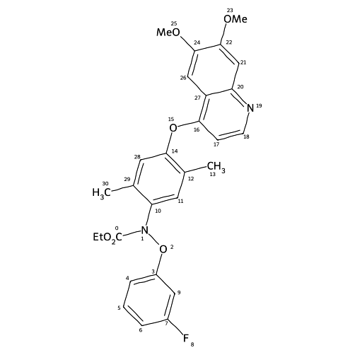 CCOC(=O)N(Oc1cccc(F)c1)c1cc(C)c(Oc2ccnc3cc(OC)c(OC)cc23)cc1C